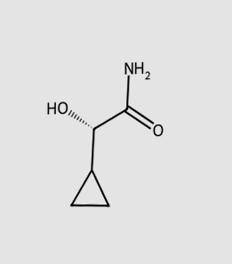 NC(=O)[C@@H](O)C1CC1